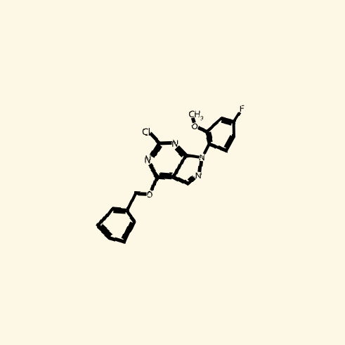 COc1cc(F)ccc1-n1ncc2c(OCc3ccccc3)nc(Cl)nc21